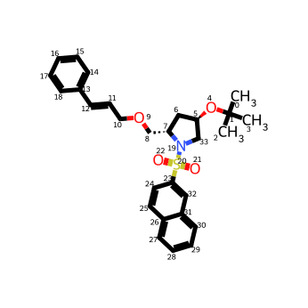 CC(C)(C)O[C@@H]1C[C@@H](COC/C=C/c2ccccc2)N(S(=O)(=O)c2ccc3ccccc3c2)C1